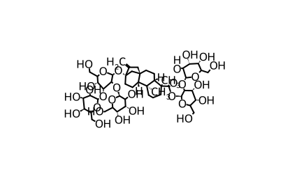 C=C1C[C@@]23CC[C@H]4[C@@](C)(CCC[C@@]4(C)C(=O)O[C@@H]4OC(CO)[C@@H](O)[C@@H](O)C4O[C@@H]4OC(CO)[C@@H](O)[C@@H](O)C4O)[C@@H]2CC[C@]1(O[C@@H]1OC(CO)[C@@H](O)[C@@H](O[C@@H]2OC(CO)[C@@H](O)[C@@H](O)C2O)C1O[C@@H]1OC(CO)[C@@H](O)[C@@H](O)C1O)C3